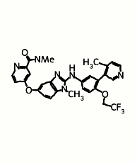 CNC(=O)c1cc(Oc2ccc3c(c2)nc(Nc2ccc(OCC(F)(F)F)c(-c4cnccc4C)c2)n3C)ccn1